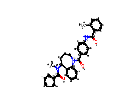 Cc1ccccc1C(=O)Nc1ccc(C(=O)N2CCCC(N(C)C(=O)c3ccccc3)c3ccccc32)cc1